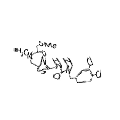 COCC(=O)N(C)Cc1csc(NC(=O)NCc2ccc(Cl)c(Cl)c2)n1